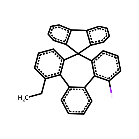 CCc1cccc2c1-c1ccccc1-c1c(I)cccc1C21c2ccccc2-c2ccccc21